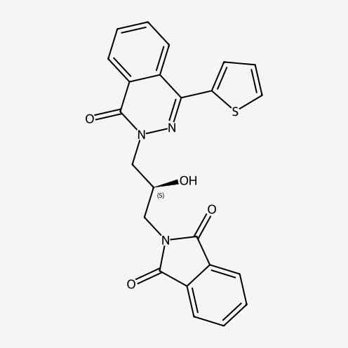 O=C1c2ccccc2C(=O)N1C[C@H](O)Cn1nc(-c2cccs2)c2ccccc2c1=O